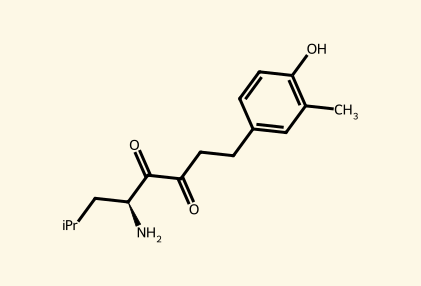 Cc1cc(CCC(=O)C(=O)[C@@H](N)CC(C)C)ccc1O